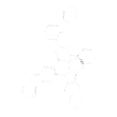 c1ccc(-c2nc(-c3cc4oc5ccccc5c4cc3-n3c4ccccc4c4cc5ccccc5cc43)nc(-c3cccc4c3sc3ccccc34)n2)cc1